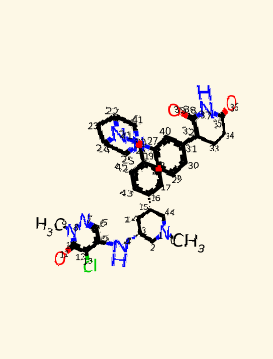 CN1C[C@H](Nc2cnn(C)c(=O)c2Cl)C[C@H](c2ccc(CN3C4CC3CN(c3cccc(C5CCC(=O)NC5=O)c3)C4)cc2)C1